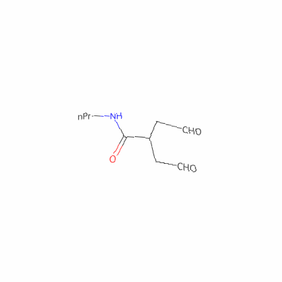 CCCNC(=O)C(CC=O)CC=O